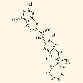 Cc1cc(Cl)cc2c1OCC(C(=O)Nc1ccc(C[N+](C)(C)C3CCCCCC3)cc1)=C2.[I-]